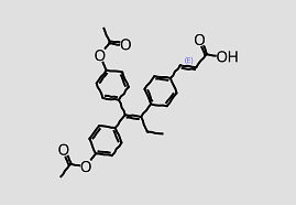 CCC(=C(c1ccc(OC(C)=O)cc1)c1ccc(OC(C)=O)cc1)c1ccc(/C=C/C(=O)O)cc1